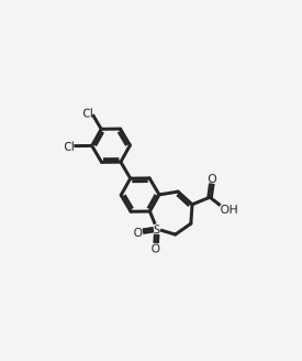 O=C(O)C1=Cc2cc(-c3ccc(Cl)c(Cl)c3)ccc2S(=O)(=O)CC1